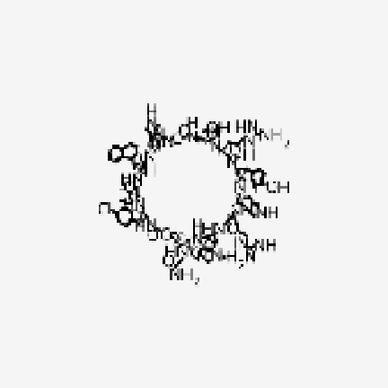 CC[C@@H]1NC(=O)[C@H](Cc2ccc(Cl)cc2)NC(=O)CSC[C@@H](C(=O)NCC(N)=O)NC(=O)[C@H](Cc2cncn2C)NC(=O)[C@H](CCCNC(=N)N)NC(=O)[C@H](Cc2c[nH]cn2)NC(=O)[C@H](Cc2ccc(O)cc2)N(C)C(=O)[C@H](CCCNC(=N)N)NC(=O)[C@H](CO)NC(=O)CNC(=O)[C@H](Cc2c[nH]cn2)NC(=O)[C@H](Cc2cccc3ccccc23)NC1=O